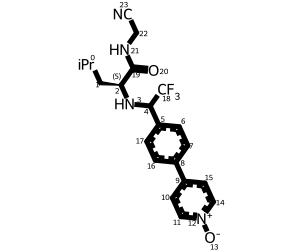 CC(C)C[C@H](NC(c1ccc(-c2cc[n+]([O-])cc2)cc1)C(F)(F)F)C(=O)NCC#N